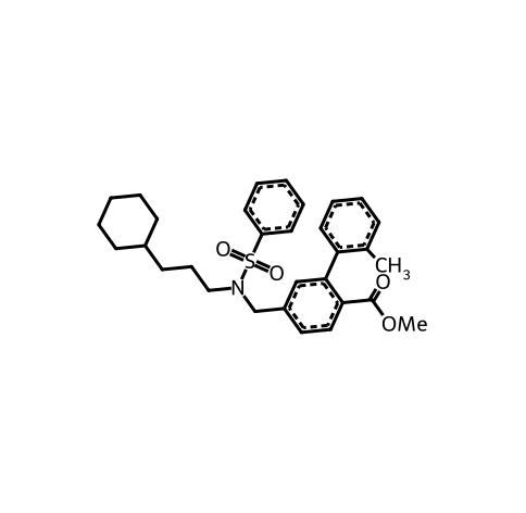 COC(=O)c1ccc(CN(CCCC2CCCCC2)S(=O)(=O)c2ccccc2)cc1-c1ccccc1C